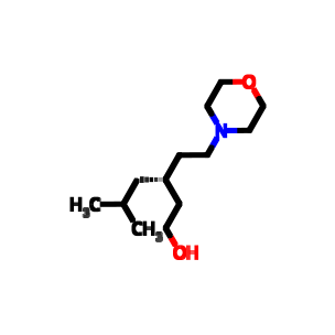 CC(C)C[C@@H](CCO)CCN1CCOCC1